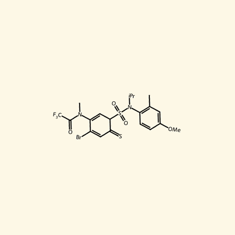 COc1ccc(N(C(C)C)S(=O)(=O)C2C=C(N(C)C(=O)C(F)(F)F)C(Br)=CC2=S)c(C)c1